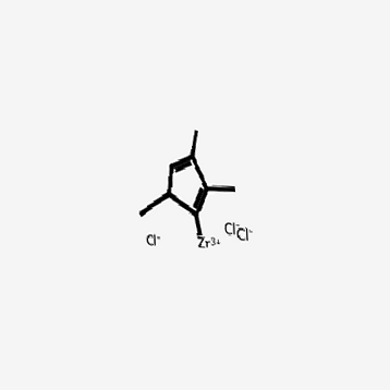 CC1=CC(C)[C]([Zr+3])=C1C.[Cl-].[Cl-].[Cl-]